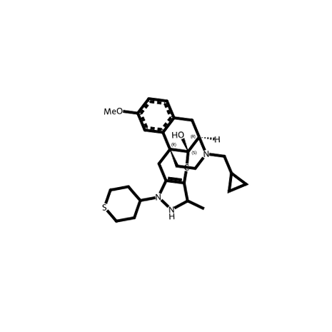 COc1ccc2c(c1)[C@]13CCN(CC4CC4)[C@H](C2)[C@]1(O)CC1=C(C3)N(C2CCSCC2)NC1C